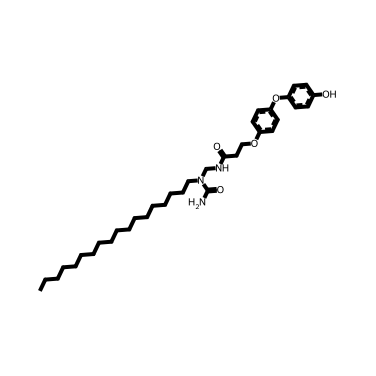 CCCCCCCCCCCCCCCCCCN(CNC(=O)CCOc1ccc(Oc2ccc(O)cc2)cc1)C(N)=O